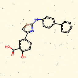 O=C(O)c1cc(-c2csc(Nc3ccc(-c4ccccc4)cc3)n2)ccc1O